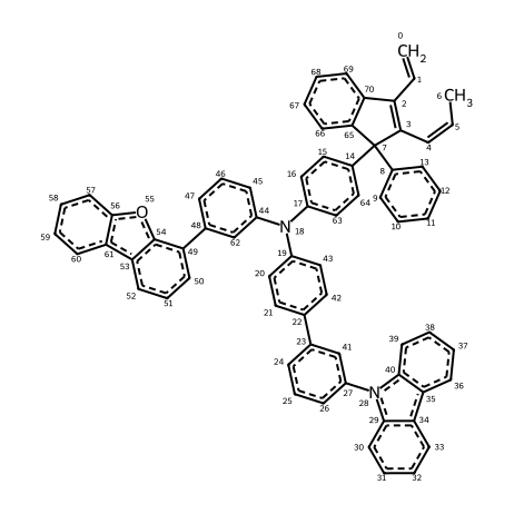 C=CC1=C(/C=C\C)C(c2ccccc2)(c2ccc(N(c3ccc(-c4cccc(-n5c6ccccc6c6ccccc65)c4)cc3)c3cccc(-c4cccc5c4oc4ccccc45)c3)cc2)c2ccccc21